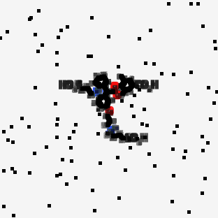 Cc1cc(C(=O)O)cc(C)c1OC(=O)c1c2ccccc2[n+](CCCS(=O)(=O)O)c2ccc(OCCC[N+](C)(C)CCCS(=O)(=O)O)cc12